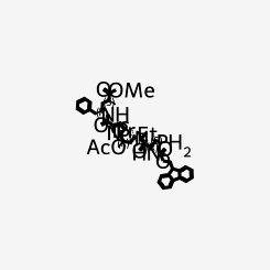 CC[C@H](P)[C@H](NC(=O)OCC1c2ccccc2-c2ccccc21)C(=O)N(C)[C@H](C[C@@H](OC(C)=O)c1nc(C(=O)N[C@@H](Cc2ccccc2)C[C@H](C)C(=O)OC)cs1)C(C)C